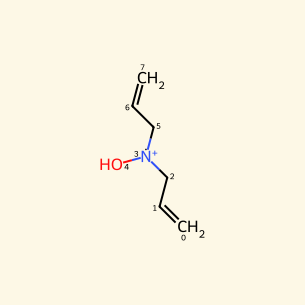 C=CC[N+](O)CC=C